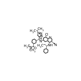 CC[C@@H](Nc1c(C#N)cnc2c(Cl)cc(N[C@@H](c3cccc(C(=O)N(C)C)c3)c3cn(C(C)C)nn3)cc12)c1ccccc1